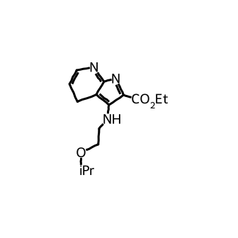 CCOC(=O)C1=NC2=NC=CCC2=C1NCCOC(C)C